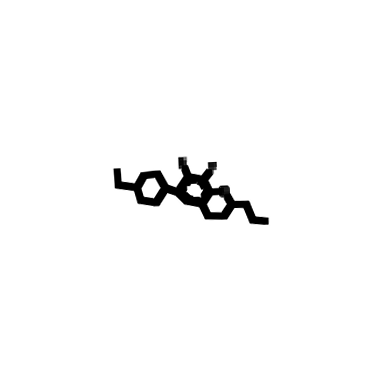 CCCC1CCc2cc(C3CCC(CC)CC3)c(F)c(F)c2O1